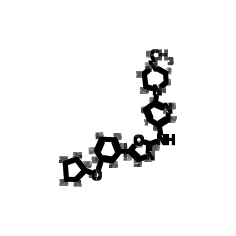 CN1CCN(c2ccc(Nc3ncc(-c4cccc(OC5CCCC5)c4)o3)cn2)CC1